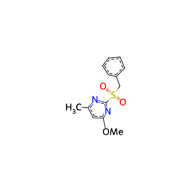 COc1cc(C)nc(S(=O)(=O)Cc2ccccc2)n1